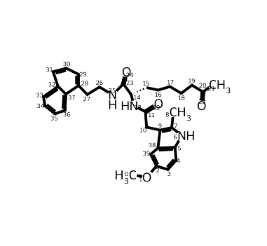 COc1ccc2[nH]c(C)c(CC(=O)N[C@@H](CCCCCC(C)=O)C(=O)NCCc3cccc4ccccc34)c2c1